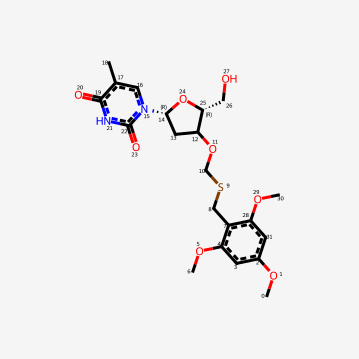 COc1cc(OC)c(CSCOC2C[C@H](n3cc(C)c(=O)[nH]c3=O)O[C@@H]2CO)c(OC)c1